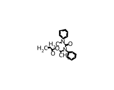 C=CC(=O)OC(C)N(C(=O)N(C)c1ccccc1)c1ccccc1